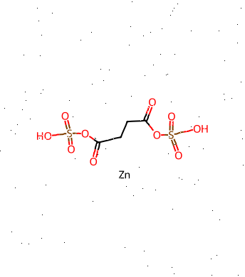 O=C(CCC(=O)OS(=O)(=O)O)OS(=O)(=O)O.[Zn]